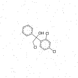 OC(CCl)(c1ccccc1)c1ccc(Cl)cc1Cl